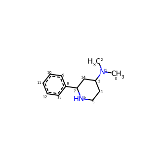 CN(C)C1CCNC(c2ccccc2)C1